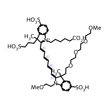 COCCOCCOCCOCCC1(C)\C(=C/C=C/C=C/C=C/C2=[N+](CCCCCC(=O)O)c3ccc(S(=O)(=O)O)cc3C2(C)CCCS(=O)(=O)O)N(CCOC)c2ccc(S(=O)(=O)O)cc21